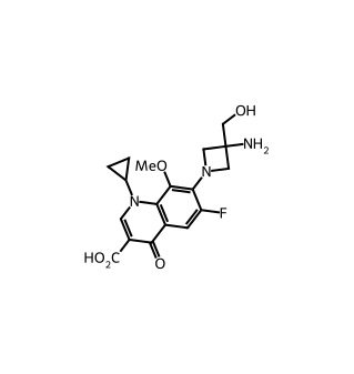 COc1c(N2CC(N)(CO)C2)c(F)cc2c(=O)c(C(=O)O)cn(C3CC3)c12